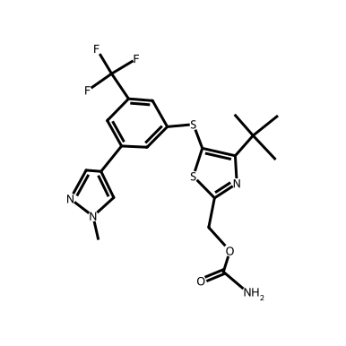 Cn1cc(-c2cc(Sc3sc(COC(N)=O)nc3C(C)(C)C)cc(C(F)(F)F)c2)cn1